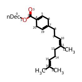 CCCCCCCCCCOC(=O)C1=CCC(CCC=C(C)CCC=C(C)C)=CC1